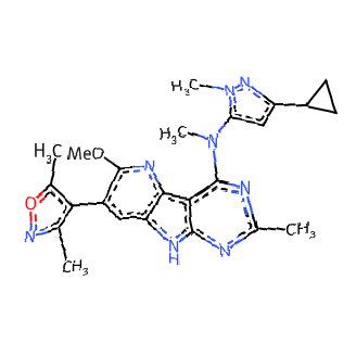 COc1nc2c(cc1-c1c(C)noc1C)[nH]c1nc(C)nc(N(C)c3cc(C4CC4)nn3C)c12